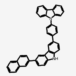 c1ccc2cc(-c3ccc4[nH]c5ccc(-c6ccc(-n7c8ccccc8c8ccccc87)cc6)cc5c4c3)ccc2c1